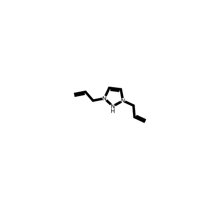 C=CCN1C=CN(CC=C)N1